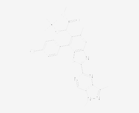 COC(=O)C(OC(C)(C)C)c1c(C)cc2nc(-c3ncc4c(n3)c(C)nn4C)sc2c1-c1ccc(Cl)cc1